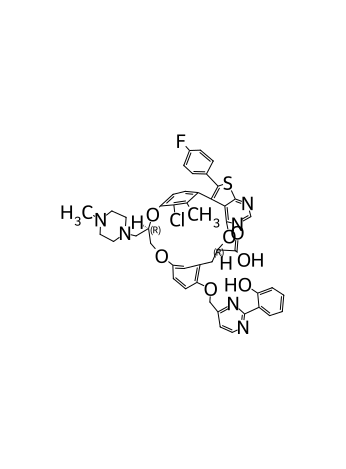 Cc1c2ccc(c1Cl)O[C@H](CN1CCN(C)CC1)COc1ccc(OCc3ccnc(-c4ccccc4O)n3)c(c1)C[C@H](C(=O)O)Oc1ncnc3sc(-c4ccc(F)cc4)c-2c13